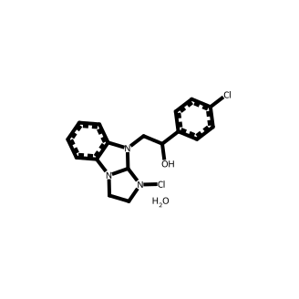 O.OC(CN1c2ccccc2N2CCN(Cl)C21)c1ccc(Cl)cc1